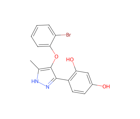 Cc1[nH]nc(-c2ccc(O)cc2O)c1Oc1ccccc1Br